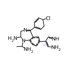 CC(N)N1c2ccc(/C(C=N)=C/N)cc2C(C2=CCC(Cl)C=C2)=NCC1N